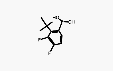 CC(C)(C)c1c(B(O)O)ccc(F)c1F